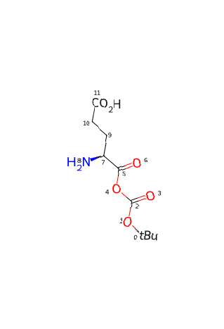 CC(C)(C)OC(=O)OC(=O)[C@@H](N)CCC(=O)O